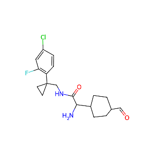 NC(C(=O)NCC1(c2ccc(Cl)cc2F)CC1)C1CCC(C=O)CC1